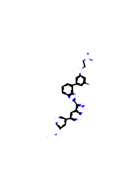 CC(C)Nc1cncc(-c2cnc3[nH]nc(-c4nc5c(-c6cc(F)cc(NCCN(C)C)c6)cccc5[nH]4)c3c2)c1